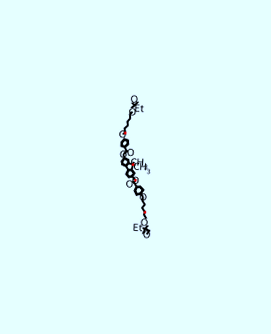 CCC1(COCCCCCCOc2ccc(C(=O)Oc3ccc4c(c3)C(C)(C)c3cc(OC(=O)c5ccc(OCCCCCCOCC6(CC)COC6)cc5)ccc3-4)cc2)COC1